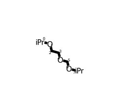 CC(C)OCCOCOC(C)C